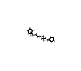 C1CCC(NCCNCCNC2CCCC2)C1